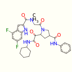 CN(CC(=O)N1CC(C(=O)Nc2ccccc2)CC1C(=O)C(=O)NC1CCCCC1)C(=O)c1cc2c(F)cc(F)cc2[nH]1